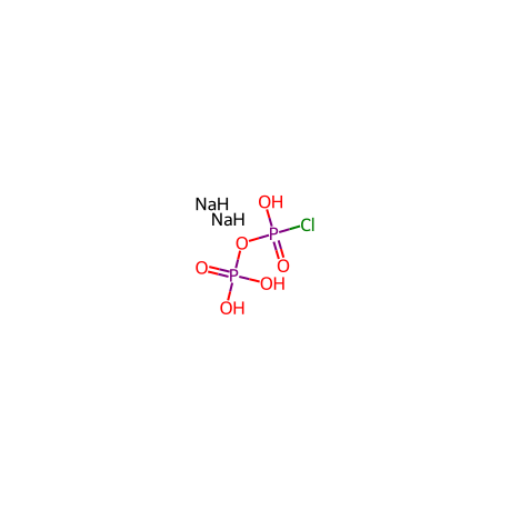 O=P(O)(O)OP(=O)(O)Cl.[NaH].[NaH]